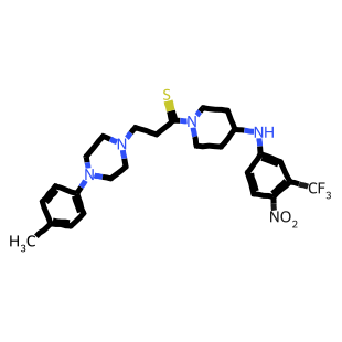 Cc1ccc(N2CCN(CCC(=S)N3CCC(Nc4ccc([N+](=O)[O-])c(C(F)(F)F)c4)CC3)CC2)cc1